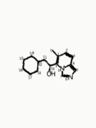 Cc1ccc2cncn2c1[C@@H](O)CC1CCCCC1